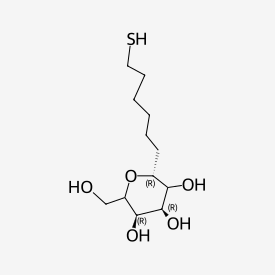 OCC1O[C@H](CCCCCCS)C(O)[C@@H](O)[C@H]1O